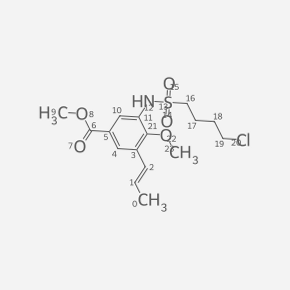 C/C=C/c1cc(C(=O)OC)cc(NS(=O)(=O)CCCCCl)c1OC